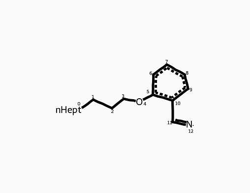 CCCCCCCCCCOc1ccccc1C=[N]